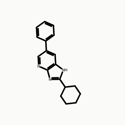 c1ccc(-c2cnc3nc(C4CCCCC4)[nH]c3c2)cc1